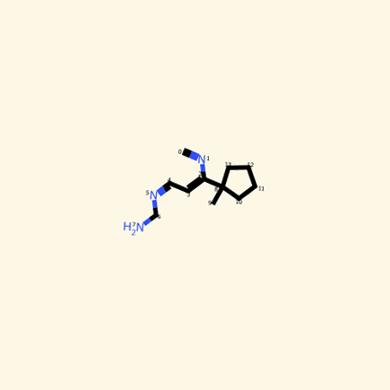 C=N/C(=C\C=N/CN)C1(C)CCCC1